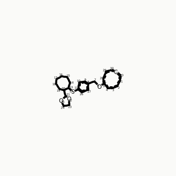 c1ccccc(OCc2ccc(SC3CCCCCCC3C3OCCO3)cc2)cccc1